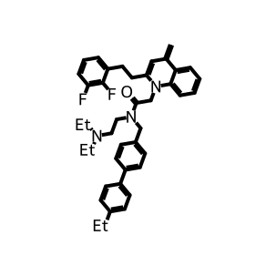 C=C1C=C(CCc2cccc(F)c2F)N(CC(=O)N(CCN(CC)CC)Cc2ccc(-c3ccc(CC)cc3)cc2)c2ccccc21